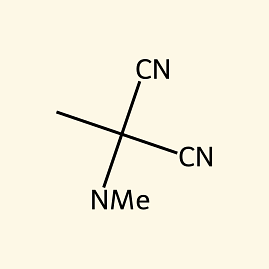 CNC(C)(C#N)C#N